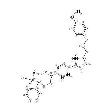 COc1ccc(COCc2nnc(-c3ccc(N4CCC(c5ccccc5)(C(F)(F)F)CC4)nn3)[nH]2)cc1